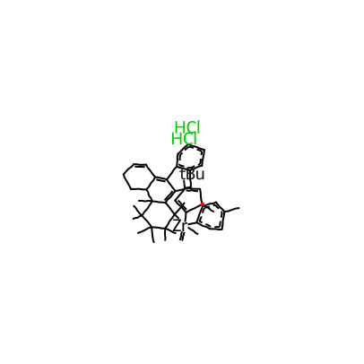 Cl.Cl.[CH2]=[Zr]([CH3])([C]1=CC(C(C)(C)C)=CC1C)([c]1ccc(C)cc1)[C]1(C)C2=C3Cc4ccccc4C3=C3C=CCCC3C2(C)C(C)(C)C(C)(C)C1(C)C